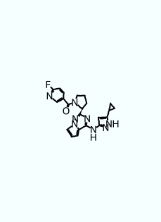 O=C(c1ccc(F)nc1)N1CCC[C@H]1c1nc(Nc2cc(C3CC3)[nH]n2)c2cccn2n1